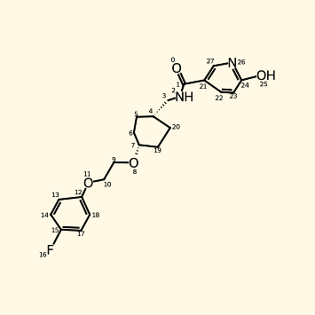 O=C(NC[C@H]1CC[C@@H](OCCOc2ccc(F)cc2)CC1)c1ccc(O)nc1